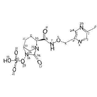 Cc1cnc(CONC(=O)[C@@H]2CCC3CN2C(=O)N3OS(=O)(=O)O)cn1